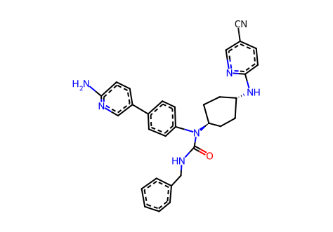 N#Cc1ccc(N[C@H]2CC[C@H](N(C(=O)NCc3ccccc3)c3ccc(-c4ccc(N)nc4)cc3)CC2)nc1